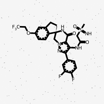 CS(=N)(=O)CC(=O)Nc1c(-c2ccc(F)c(F)c2)nn2c1C(=O)N[C@@]1(CCc3cc(OCC(F)(F)F)ccc31)C2